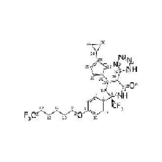 O=C1N[C@@](c2ccc(OCCCCCC(F)(F)F)cc2)(C(F)(F)F)CC(c2ccc(C3CC3)s2)=C1c1nnn[nH]1